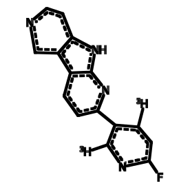 [3H]c1cc(F)nc([3H])c1-c1ccc2c(n1)[nH]c1ccncc12